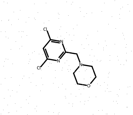 Clc1cc(Cl)nc(CN2CCOCC2)n1